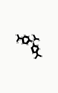 CC(C)c1ccc(N(c2ccc(C(C)C)cc2)C(C)C)cc1